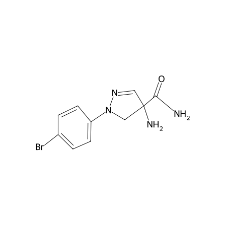 NC(=O)C1(N)C=NN(c2ccc(Br)cc2)C1